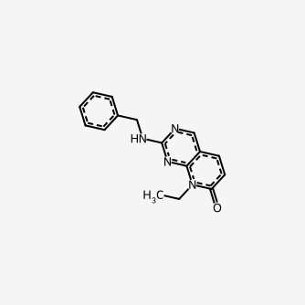 CCn1c(=O)ccc2cnc(NCc3ccccc3)nc21